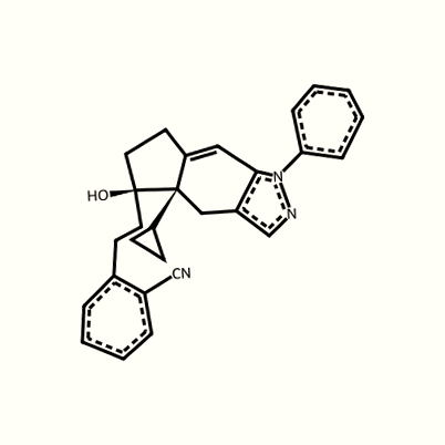 N#Cc1ccccc1CC[C@]1(O)CCC2=Cc3c(cnn3-c3ccccc3)C[C@@]21C1CC1